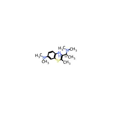 CC1=C([C@H](C)N(C)C)Nc2ccc(N(C)C)cc2S1